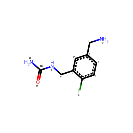 NCc1ccc(F)c(CNC(N)=O)c1